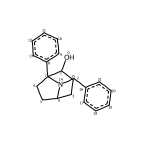 OC1CCC2CCC1(c1ccccc1)N2Cc1ccccc1